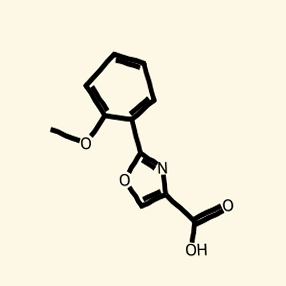 COc1ccccc1-c1nc(C(=O)O)co1